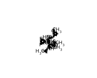 COc1cccc(CNC[C@@H](O)[C@H](COc2cc(F)cc(F)c2)NC(=O)c2cc(NC[C@H]3C[C@@H]3C)nc(N(C)S(=O)(=O)C(C)C)c2)c1